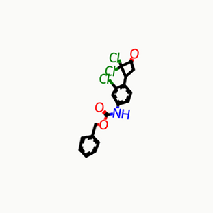 O=C(Nc1ccc(C2CC(=O)C2(Cl)Cl)c(Cl)c1)OCc1ccccc1